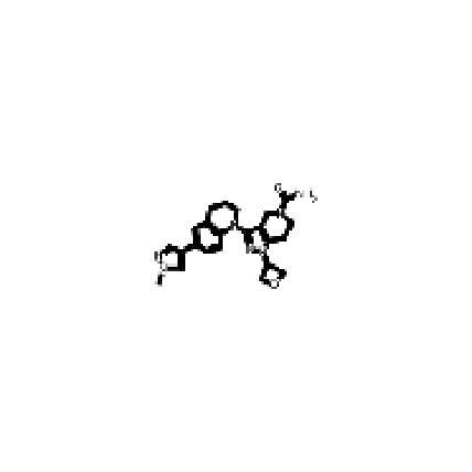 Cn1cc(-c2ccc3c(c2)CCCN3c2nn(C3COC3)c3c2CN(C(N)=O)CC3)cn1